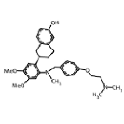 COc1cc([C@@H]2CCc3cc(O)ccc3C2)c(N(C)Cc2ccc(OCCN(C)C)cc2)cc1OC